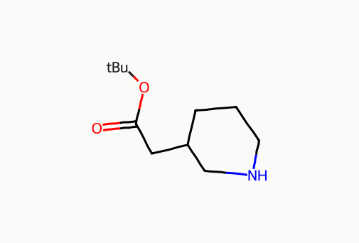 CC(C)(C)OC(=O)CC1CCCNC1